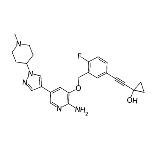 CN1CCC(n2cc(-c3cnc(N)c(OCc4cc(C#CC5(O)CC5)ccc4F)c3)cn2)CC1